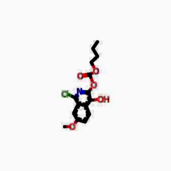 CCCCOC(=O)Oc1nc(Cl)c2cc(OC)ccc2c1O